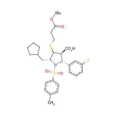 Cc1ccc(S(=O)(=O)N2[C@H](CC3CCCC3)[C@@H](SCCC(=O)OC(C)(C)C)[C@@H](C(=O)O)[C@@H]2c2cccc(F)c2)cc1